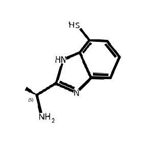 C[C@H](N)c1nc2cccc(S)c2[nH]1